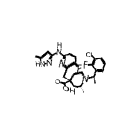 Cc1cc(Nc2ccc(F)c(C[C@@]3(C(=O)O)CCN([C@H](C)c4cccc(Cl)c4F)[C@H](C)C3)n2)n[nH]1